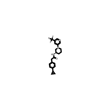 O=C(Cc1ccc(C2CC2)cc1)N[C@@H]1CCCN(c2cncc(C(F)(F)F)c2)C1